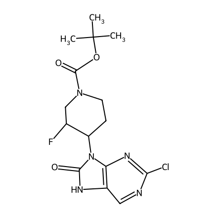 CC(C)(C)OC(=O)N1CCC(n2c(=O)[nH]c3cnc(Cl)nc32)C(F)C1